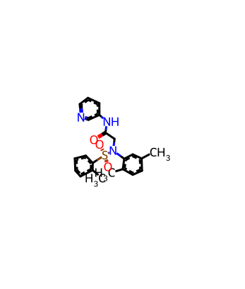 Cc1ccc(C)c(N(CC(=O)Nc2cccnc2)S(=O)(=O)c2ccccc2C)c1